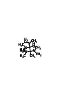 CN(C)C(C)(N(C)C)C(O)(N(C)C)N(C)C